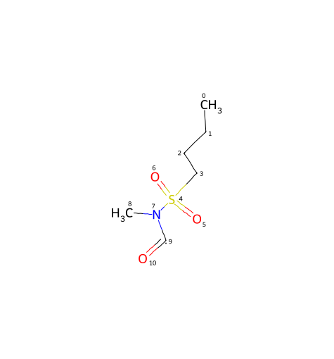 CCCCS(=O)(=O)N(C)[C]=O